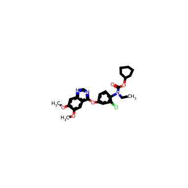 CCN(C(=O)OC1CCCCC1)c1ccc(Oc2ncnc3cc(OC)c(OC)cc23)cc1Cl